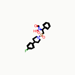 O=CN(O)C(CS(=O)(=O)N1CCC(c2ccc(F)cc2)CC1)c1ccccc1